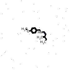 C=C(/C=C\NCc1ccc(OC)cc1)CC